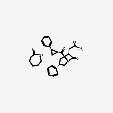 CC(C)C[C@@H]1C(=O)N2C[C@H](c3ccccc3)CC12C(=O)[C@@H]1C[C@H]1c1ccccc1.O=C1CCCCCN1